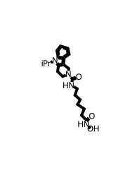 CC(C)n1c2c(c3ccccc31)CN(C(=O)NCCCCCCC(=O)NO)CC2